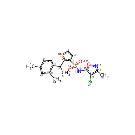 Cc1ccc(C(C)c2sccc2S(=O)(=O)Nc2onc(C)c2Br)c(C)c1